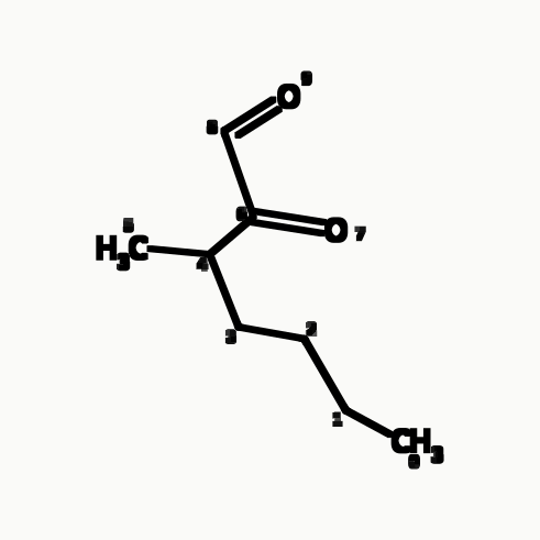 CCCCC(C)C(=O)C=O